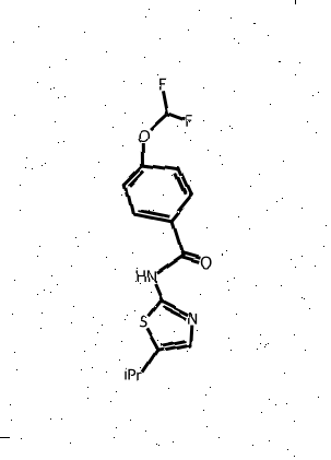 CC(C)c1cnc(NC(=O)c2ccc(OC(F)F)cc2)s1